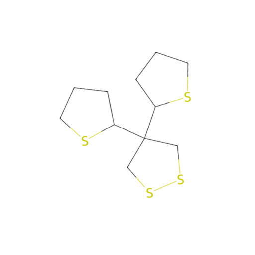 C1CSC(C2(C3CCCS3)CSSC2)C1